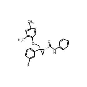 Cc1ncc(OC[C@@]2(c3cccc(F)c3)C[C@H]2C(=O)Nc2ccccc2)c(C)n1